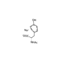 CC(=O)N[C@@H](Cc1ccc(O)cc1)C(=O)[O-].[Na+]